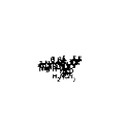 C[C@]1(C(N)=O)COc2c1cc([C@@](O)(CNC(=O)c1ccn3nccc3n1)C(F)(F)F)nc2-c1ccc(F)cc1